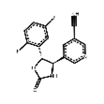 C#Cc1cncc([C@H]2NC(=O)O[C@@H]2c2cc(F)ccc2F)c1